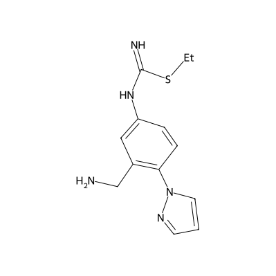 CCSC(=N)Nc1ccc(-n2cccn2)c(CN)c1